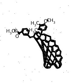 COC(=O)c1cccc(CC23C4=CC5(c6ccc(OC)c(C)c6C)C=C6Cc7cc8cc9c%10c%11c(cc%12cc(c2c2c%12c%11c%11c2c2c3c5c3c6c7c5c8c%10c%11c5c32)C4)C9)c1